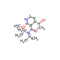 COc1nccc(C(C)=O)c1C(=O)N(C(C)C)C(C)C